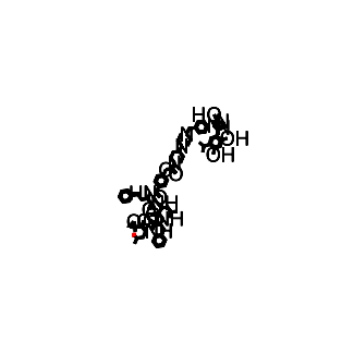 CC(C)CC(NC(=O)C(CCc1ccccc1)NC(=O)c1ccc(OC(=O)N2CCC(N3CCN(Cc4ccc(-n5c(O)nnc5-c5cc(C(C)C)c(O)cc5O)cc4)CC3)CC2)cc1)C(=O)NC(Cc1ccccc1)C(=O)NC(CC(C)C)C(=O)C1(C)CO1